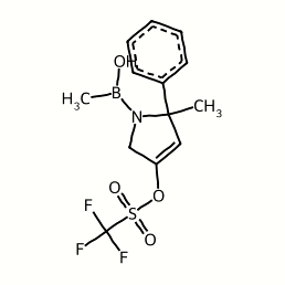 CB(O)N1CC(OS(=O)(=O)C(F)(F)F)=CC1(C)c1ccccc1